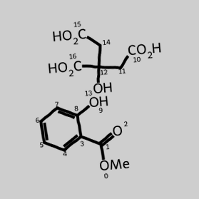 COC(=O)c1ccccc1O.O=C(O)CC(O)(CC(=O)O)C(=O)O